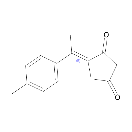 C/C(=C1/CC(=O)CC1=O)c1ccc(C)cc1